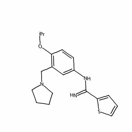 CC(C)Oc1ccc(NC(=N)c2cccs2)cc1CN1CCCC1